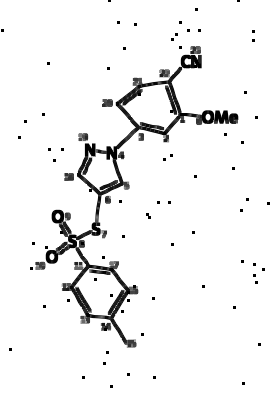 COc1cc(-n2cc(SS(=O)(=O)c3ccc(C)cc3)cn2)ccc1C#N